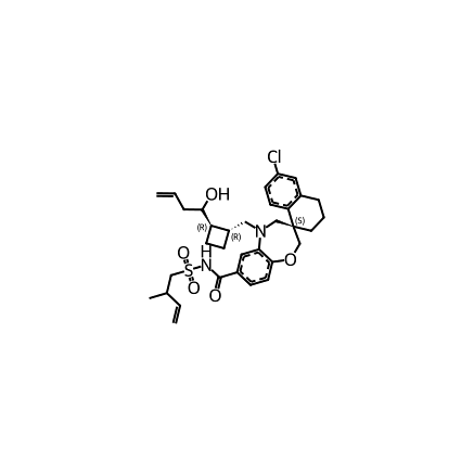 C=CCC(O)[C@@H]1CC[C@H]1CN1C[C@@]2(CCCc3cc(Cl)ccc32)COc2ccc(C(=O)NS(=O)(=O)CC(C)C=C)cc21